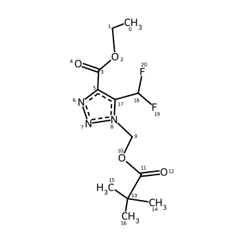 CCOC(=O)c1nnn(COC(=O)C(C)(C)C)c1C(F)F